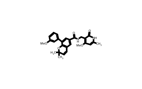 COc1cccc(-c2cc(C(=O)NCc3c(OC)cc(C)[nH]c3=O)cc3c2OC(C)(C)C=C3)c1